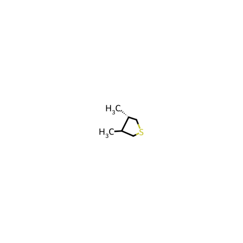 CC1CSC[C@H]1C